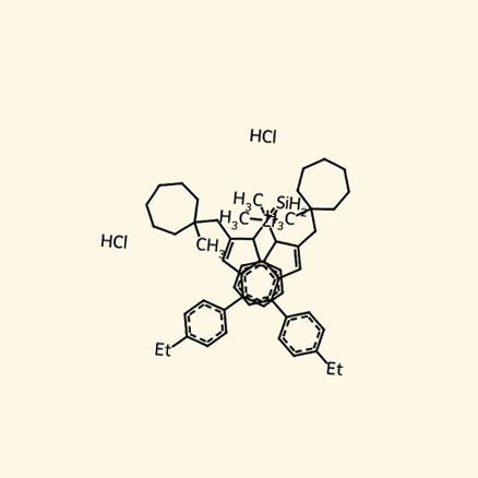 CCc1ccc(-c2cccc3c2C=C(CC2(C)CCCCCC2)[CH]3[Zr]([CH3])([CH3])(=[SiH2])[CH]2C(CC3(C)CCCCCC3)=Cc3c(-c4ccc(CC)cc4)cccc32)cc1.Cl.Cl